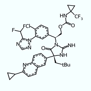 CC(C)(C)C[C@]1(c2ccc3nc(C4CC4)ccc3c2)NC(=N)N([C@H](COC(=O)NC2(C(F)(F)F)CC2)c2ccc(Cl)c(-n3ncnc3C(F)F)c2)C1=O